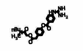 CCCCN(C)C(=O)COC(=O)Cc1ccc(OC(=O)c2ccc(NC(=N)N)cc2)cc1